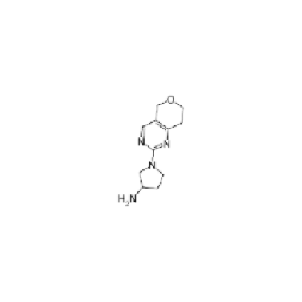 NC1CCN(c2ncc3c(n2)CCOC3)C1